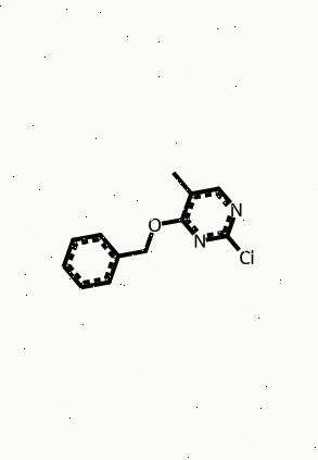 Cc1cnc(Cl)nc1OCc1ccccc1